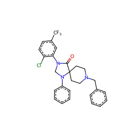 O=C1N(c2cc(C(F)(F)F)ccc2Cl)CN(c2ccccc2)C12CCN(Cc1ccccc1)CC2